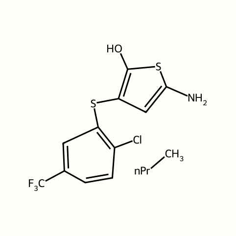 CCCC.Nc1cc(Sc2cc(C(F)(F)F)ccc2Cl)c(O)s1